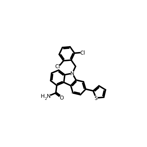 NC(=O)c1cccc2c1c1[c]cc(-c3cccs3)cc1n2Cc1c(Cl)cccc1Cl